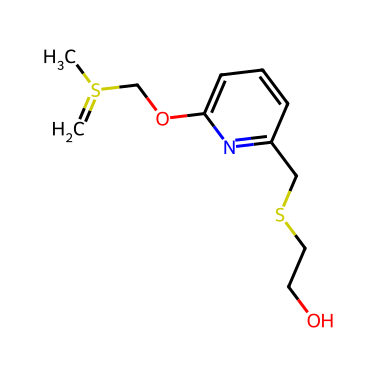 C=S(C)COc1cccc(CSCCO)n1